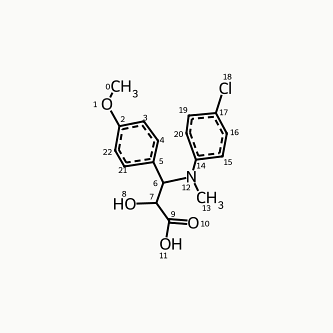 COc1ccc(C(C(O)C(=O)O)N(C)c2ccc(Cl)cc2)cc1